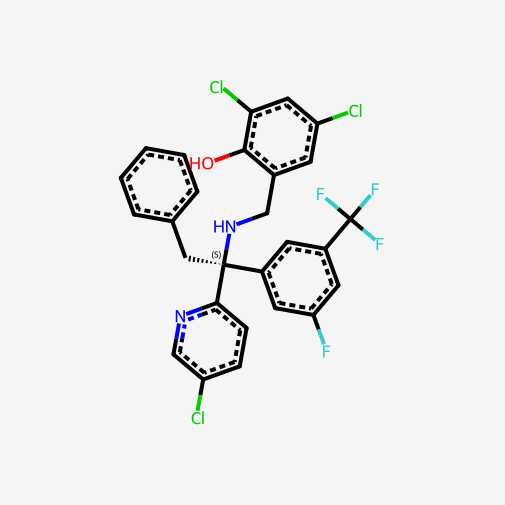 Oc1c(Cl)cc(Cl)cc1CN[C@@](Cc1ccccc1)(c1cc(F)cc(C(F)(F)F)c1)c1ccc(Cl)cn1